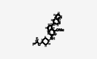 COc1nc(N[C@H]2CC[C@H](OC(F)F)CC2)nn2ccc(-c3cnc4nccn4c3)c12